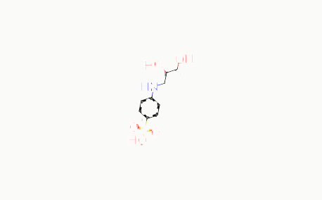 O=S(=O)(O)c1ccc(NCC(O)CO)cc1